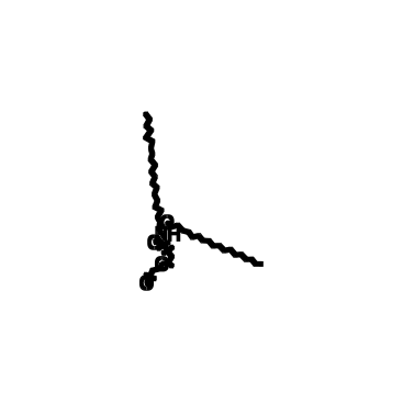 CCCCCCCCCCCCCCCCCCCC(CNC(=O)C(C)(C)C(C)(C)CC(C)OCCC(C)(C)OC)OCCCCCCCCCCCCCCCCCC